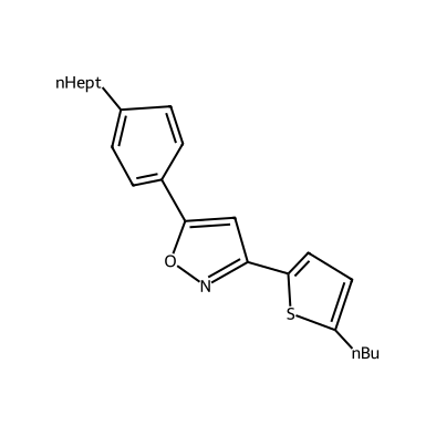 CCCCCCCc1ccc(-c2cc(-c3ccc(CCCC)s3)no2)cc1